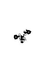 CC1(C)O[C@@H]2O[C@@H](COC(=O)c3ccccc3I)C(C)(OC(=O)c3ccccc3)[C@H]2O1